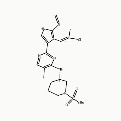 C=Nc1[nH]cc(-c2ncc(F)c(N[C@H]3CCCN(S(=O)(=O)CCCC)C3)n2)c1/C=C(\C)Cl